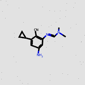 CN(C)/C=N/c1cc(N)cc(C2CC2)c1C#N